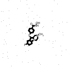 CN1CCn2c(c(Sc3ccc(C(=O)NO)cc3)c3cc(F)ccc32)C1